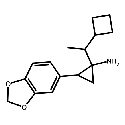 CC(C1CCC1)C1(N)CC1c1ccc2c(c1)OCO2